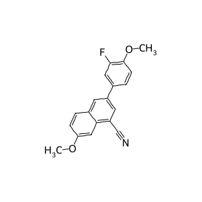 COc1ccc2cc(-c3ccc(OC)c(F)c3)cc(C#N)c2c1